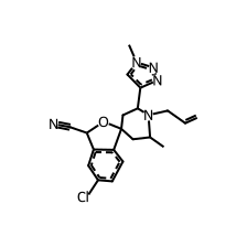 C=CCN1C(C)CC2(CC1c1cn(C)nn1)OC(C#N)c1cc(Cl)ccc12